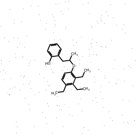 CCc1ccc(OC(C)Cc2ccccc2O)c(CC)c1CC